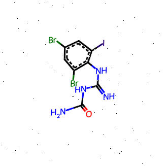 N=C(NC(N)=O)Nc1c(Br)cc(Br)cc1I